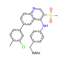 CNCc1ccc(Nc2c(S(C)(=O)=O)cnc3ccc(-c4ccc(C)c(Cl)c4)cc23)cc1